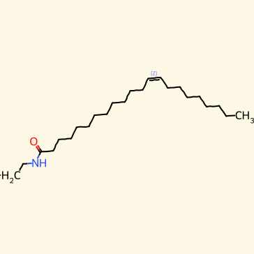 [CH2]CNC(=O)CCCCCCCCCCC/C=C\CCCCCCCC